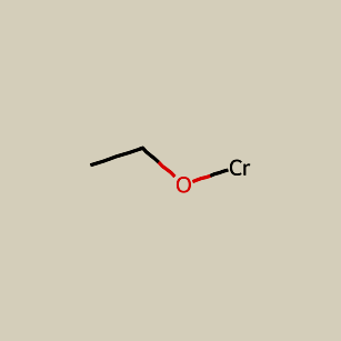 CC[O][Cr]